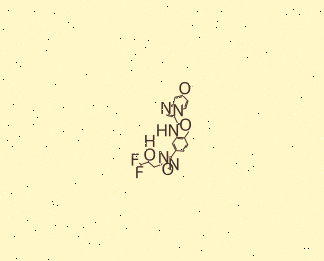 COc1ccn2c(C(=O)Nc3cc(-c4noc(C[C@H](O)C(F)F)n4)ccc3C)cnc2c1